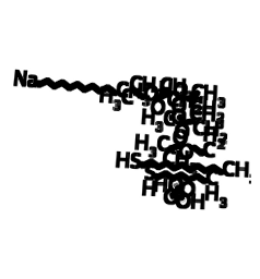 C=C(C)C(=O)O.C=C(C)C(=O)OC.C=C(C)C(=O)OCC(C)C.C=CCOC(=O)C(=C)C.CCCCCCCCCCCCS.CCCCCCCCCCC[CH2][Na].CCCCCCCCS.O=S(=O)(O)O